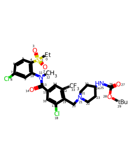 CCS(=O)(=O)c1ccc(Cl)cc1N(C)C(=O)c1cc(Cl)c(CN2CCC(NC(=O)OC(C)(C)C)CC2)c(C(F)(F)F)c1